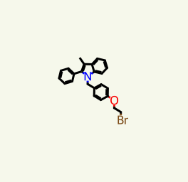 Cc1c(-c2ccccc2)n(Cc2ccc(OCCBr)cc2)c2ccccc12